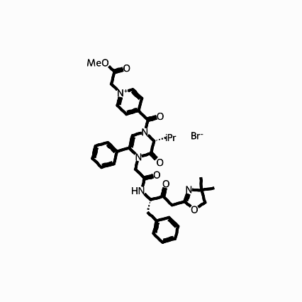 COC(=O)C[n+]1ccc(C(=O)N2C=C(c3ccccc3)N(CC(=O)N[C@@H](Cc3ccccc3)C(=O)CC3=NC(C)(C)CO3)C(=O)[C@H]2C(C)C)cc1.[Br-]